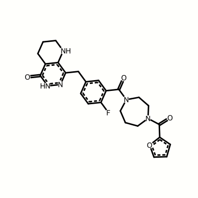 O=C(c1ccco1)N1CCCN(C(=O)c2cc(Cc3n[nH]c(=O)c4c3NCCC4)ccc2F)CC1